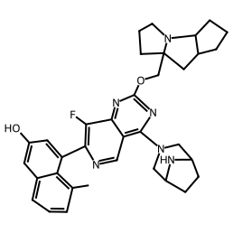 Cc1cccc2cc(O)cc(-c3ncc4c(N5CC6CCC(C5)N6)nc(OCC56CCCN5C5CCCC5C6)nc4c3F)c12